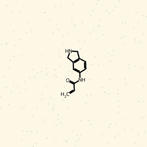 C=CC(=O)Nc1ccc2c(c1)CNC2